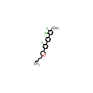 C/C=C/CCC1CCC(c2ccc(-c3ccc(-c4ccc(CCCCCCCCCC)c(F)c4F)cc3)c(F)c2)CO1